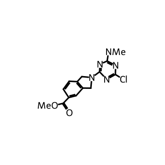 CNc1nc(Cl)nc(N2Cc3ccc(C(=O)OC)cc3C2)n1